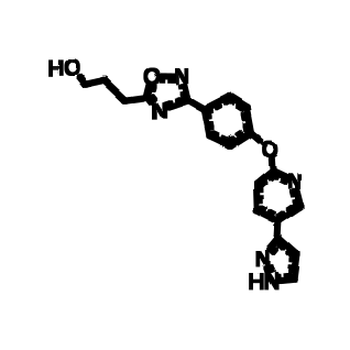 OCCCc1nc(-c2ccc(Oc3ccc(-c4cc[nH]n4)cn3)cc2)no1